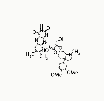 COc1ccc([C@]23CCN(C)C2CC2(CC3)O[C@@H]([C@@H](O)Cn3c4nc(=O)[nH]c(=O)c-4nc4cc(C)c(C)cc43)[C@@H](CO)O2)cc1OC